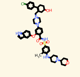 Cc1cc(S(=O)(=O)NC(=O)c2ccc(N3CCN(CC4=C(c5ccc(Cl)cc5)CCC(O)C4)CC3)cc2Oc2ccc3[nH]ccc3c2)ccc1NC1CCN(C2CCOCC2)CC1